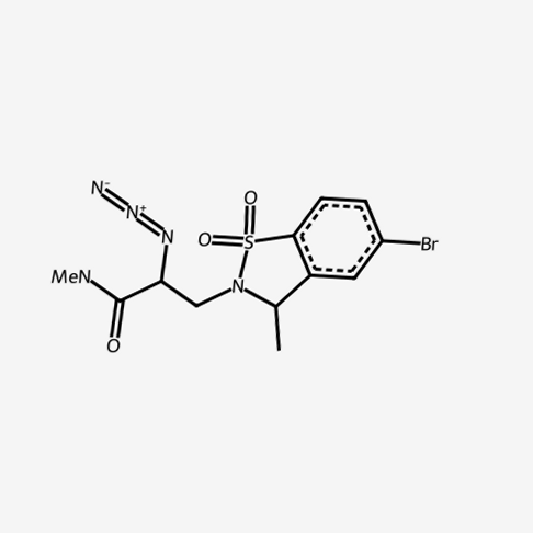 CNC(=O)C(CN1C(C)c2cc(Br)ccc2S1(=O)=O)N=[N+]=[N-]